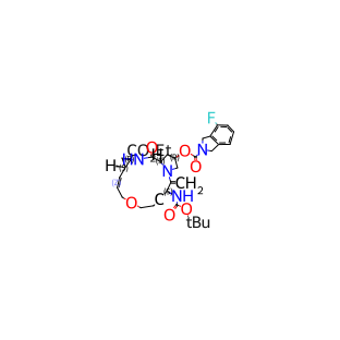 C=C1[C@@H](NC(=O)OC(C)(C)C)CCCOC/C=C\[C@@H]2C[C@@]2(C(=O)OCC)NC(=O)[C@@H]2C[C@@H](OC(=O)N3Cc4cccc(F)c4C3)CN12